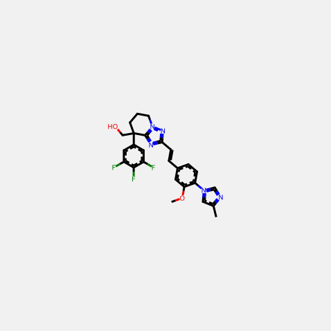 COc1cc(C=Cc2nc3n(n2)CCCC3(CO)c2cc(F)c(F)c(F)c2)ccc1-n1cnc(C)c1